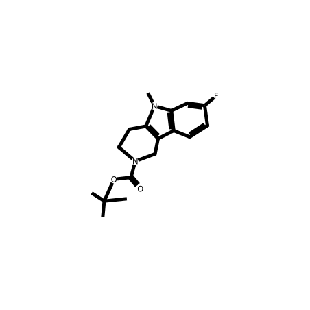 Cn1c2c(c3ccc(F)cc31)CN(C(=O)OC(C)(C)C)CC2